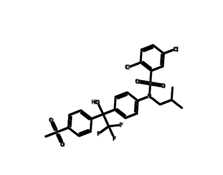 CC(C)CN(c1ccc(C(O)(c2ccc(S(C)(=O)=O)cc2)C(F)(F)F)cc1)S(=O)(=O)c1cc(Cl)ccc1Cl